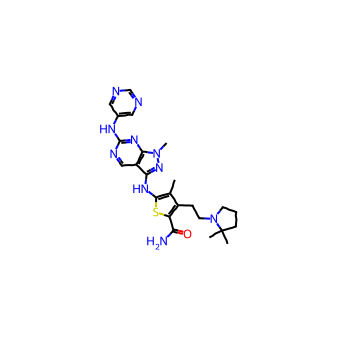 Cc1c(Nc2nn(C)c3nc(Nc4cncnc4)ncc23)sc(C(N)=O)c1CCN1CCCC1(C)C